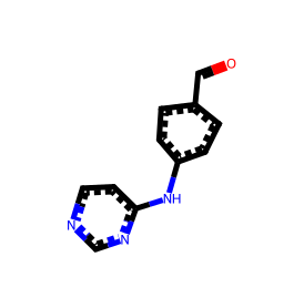 O=Cc1ccc(Nc2ccncn2)cc1